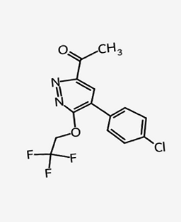 CC(=O)c1cc(-c2ccc(Cl)cc2)c(OCC(F)(F)F)nn1